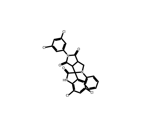 O=C1C2CN(c3ccccc3)C3(C(=O)Nc4c(Cl)cc(Cl)cc43)C2C(=O)N1c1cc(Cl)cc(Cl)c1